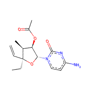 C=C[C@]1(CC)O[C@@H](n2ccc(N)nc2=O)[C@H](OC(C)=O)[C@@H]1C